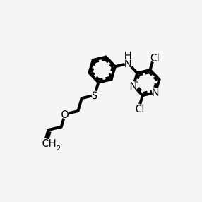 C=CCOCCSc1cccc(Nc2nc(Cl)ncc2Cl)c1